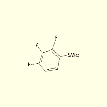 [CH2]Sc1ccc(F)c(F)c1F